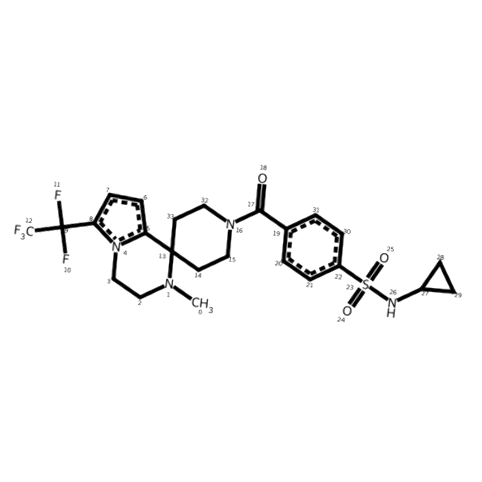 CN1CCn2c(ccc2C(F)(F)C(F)(F)F)C12CCN(C(=O)c1ccc(S(=O)(=O)NC3CC3)cc1)CC2